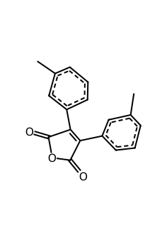 Cc1cccc(C2=C(c3cccc(C)c3)C(=O)OC2=O)c1